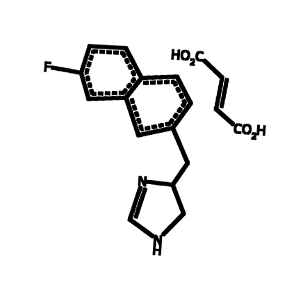 Fc1ccc2ccc(CC3CNC=N3)cc2c1.O=C(O)C=CC(=O)O